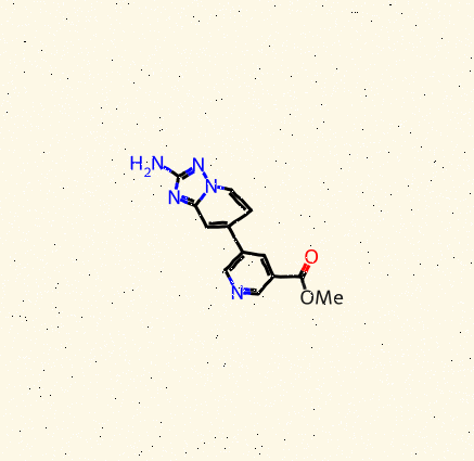 COC(=O)c1cncc(-c2ccn3nc(N)nc3c2)c1